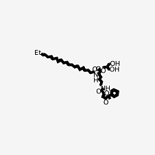 CCC=CCC=CCC=CCC=CCC=CCC=CCCC(=O)NC(CCCCNC(=O)C1=CC(=O)C(C)(c2ccccc2)O1)C(=O)OCC(CO)CO